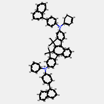 CC1(C)c2cc(N(C3=CC=CCC3)c3ccc(-c4cccc5ccccc45)cc3)ccc2-c2c1c1c(c3ccccc23)-c2ccc(N(c3ccccc3)c3ccc(-c4cccc5ccccc45)cc3)cc2C1(C)C